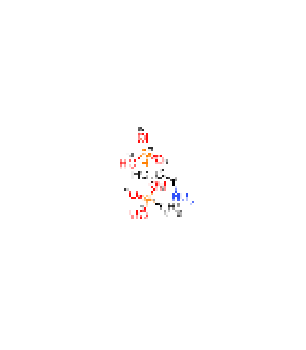 CP(=O)(O)O.NCC(=O)O.O=[PH](O)O